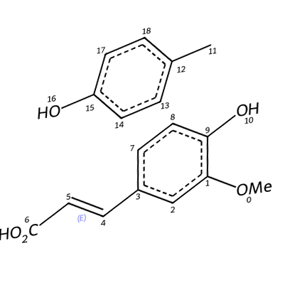 COc1cc(/C=C/C(=O)O)ccc1O.Cc1ccc(O)cc1